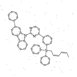 C/C=C\C=C/C[Si](c1ccccc1)(c1ccccc1)c1cccc(-c2ccnc(-n3c4ccccc4c4ccc(-c5ccccc5)cc43)n2)c1